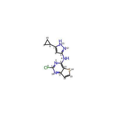 Clc1nc(Nc2cc(C3CC3)[nH]n2)c2sccc2n1